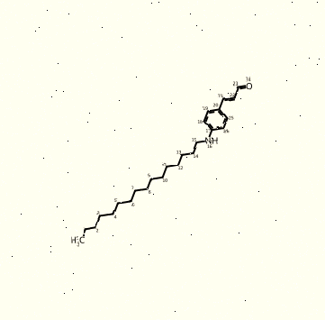 CCCCCCCCCCCCCCCCNc1ccc(C=CC=O)cc1